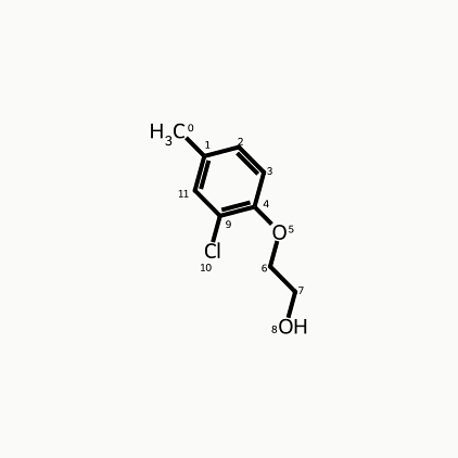 Cc1ccc(OCCO)c(Cl)c1